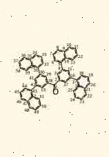 O=C(c1cc(-c2cccc3ccccc23)cc(-c2cccc3ccccc23)c1)c1cc(-c2cccc3ccccc23)cc(-c2cccc3ccccc23)c1